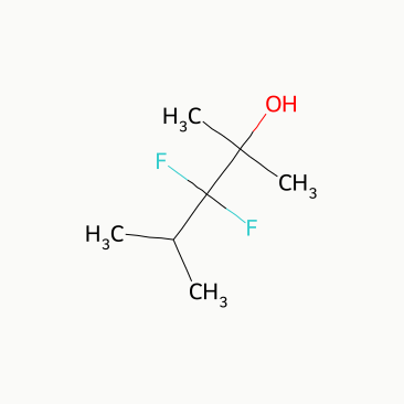 CC(C)C(F)(F)C(C)(C)O